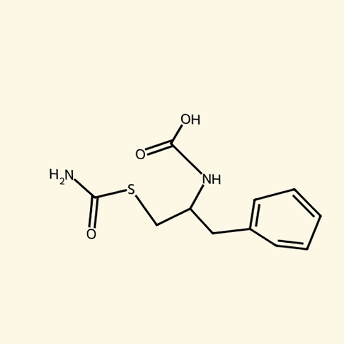 NC(=O)SCC(Cc1ccccc1)NC(=O)O